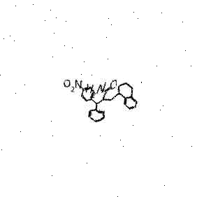 NC(=O)C(CC1CCCc2ccccc21)C(c1ccccc1)c1ccc([N+](=O)[O-])cc1